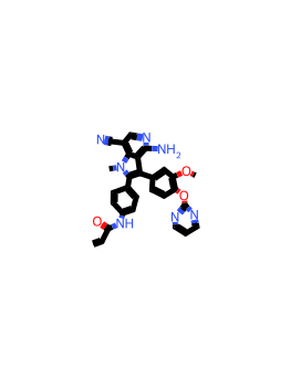 C=CC(=O)Nc1ccc(-c2c(-c3ccc(Oc4ncccn4)c(OC)c3)c3c(N)ncc(C#N)c3n2C)cc1